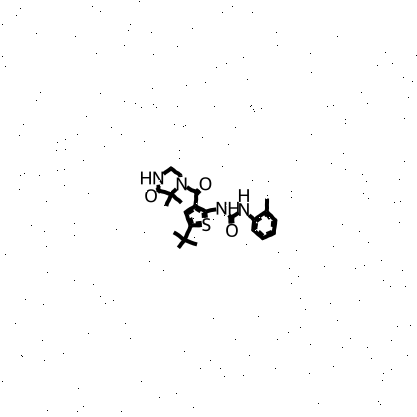 Cc1ccccc1NC(=O)Nc1sc(C(C)(C)C)cc1C(=O)N1CCNC(=O)C1(C)C